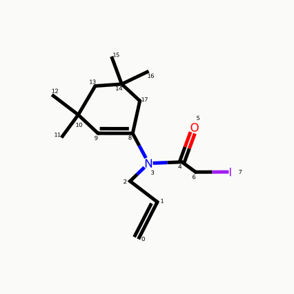 C=CCN(C(=O)CI)C1=CC(C)(C)CC(C)(C)C1